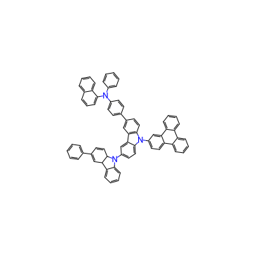 C1=CC2C(C=C1c1ccccc1)c1ccccc1N2c1ccc2c(c1)c1cc(-c3ccc(N(c4ccccc4)c4cccc5ccccc45)cc3)ccc1n2-c1ccc2c3ccccc3c3ccccc3c2c1